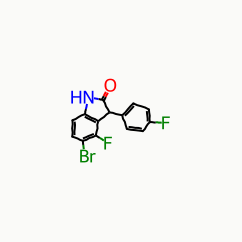 O=C1Nc2ccc(Br)c(F)c2C1c1ccc(F)cc1